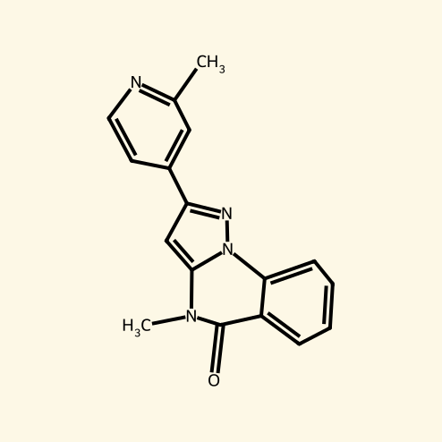 Cc1cc(-c2cc3n(C)c(=O)c4ccccc4n3n2)ccn1